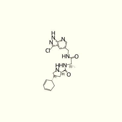 C[C@H](NC(=O)[C@H]1C[C@H](C2C=CC=CC2)CN1)C(=O)NCc1cnc2[nH]nc(Cl)c2c1